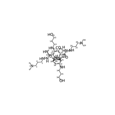 CN(C)CCCNNC(=N)c1c(NCCCO)c(C(=O)O)c(C(=O)NNCCCN(C)C)c2c3c(NCCCO)cc(c(=O)[nH]c3=O)c12